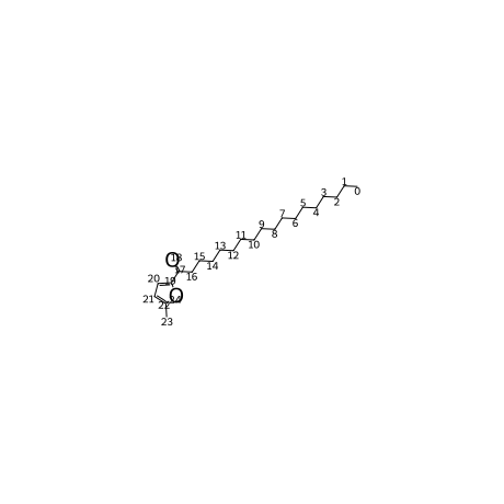 CCCCCCCCCCCCCCCCCC(=O)c1ccc(C)o1